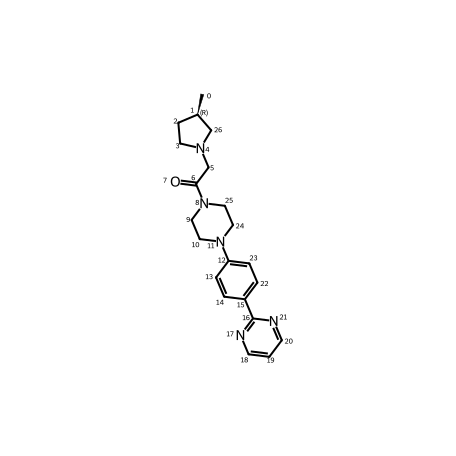 C[C@@H]1CCN(CC(=O)N2CCN(c3ccc(-c4ncccn4)cc3)CC2)C1